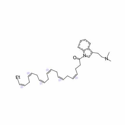 CC/C=C\C/C=C\C/C=C\C/C=C\C/C=C\C/C=C\CCC(=O)n1cc(CCN(C)C)c2ccccc21